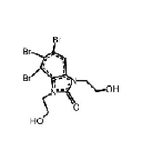 O=c1n(CCO)c2cc(Br)c(Br)c(Br)c2n1CCO